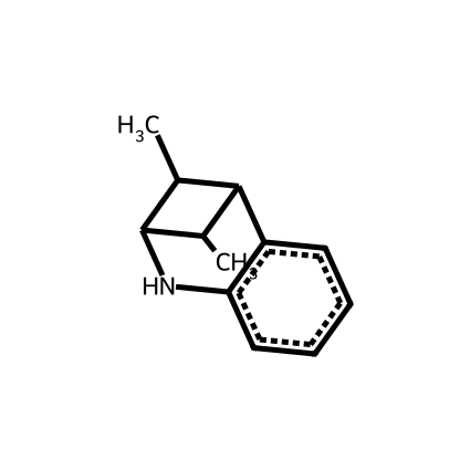 CC1C2Nc3ccccc3C1C2C